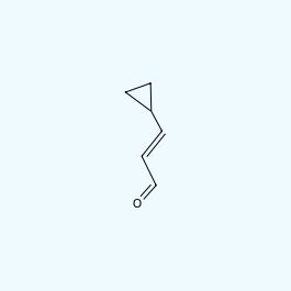 O=C/C=C/C1CC1